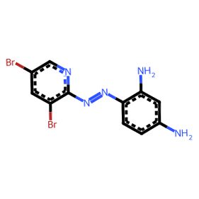 Nc1ccc(N=Nc2ncc(Br)cc2Br)c(N)c1